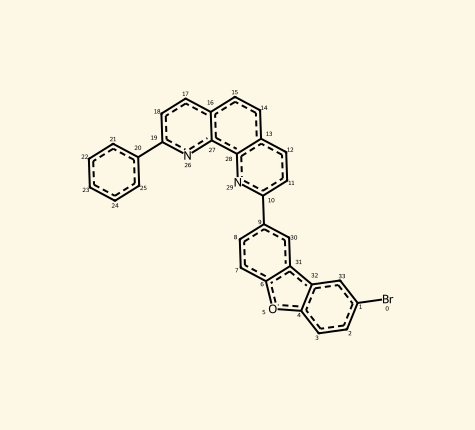 Brc1ccc2oc3ccc(-c4ccc5ccc6ccc(-c7ccccc7)nc6c5n4)cc3c2c1